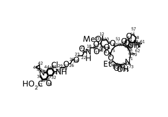 CC[C@H]1OC(=O)[C@H](C)[C@@H](OC2C[C@@](C)(OC)[C@@H](OC(=O)CNC(=O)CCOCCOCCNc3cc4c(=O)c(C(=O)O)cn(C5CC5)c4cc3Cl)[C@H](C)O2)[C@H](C)[C@@H](O[C@@H]2O[C@H](C)C[C@H](N(C)C)[C@H]2O)[C@](C)(O)C[C@@H](C)CN(C)[C@H](C)[C@@H](O)[C@]1(C)O